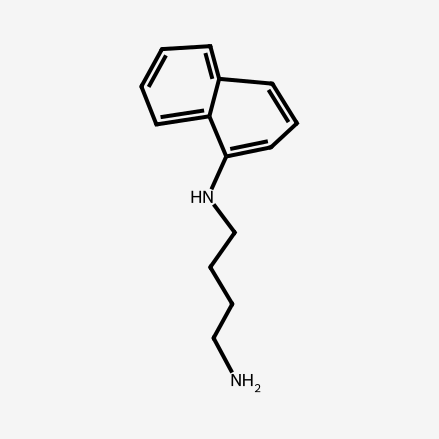 NCCCCNc1cccc2ccccc12